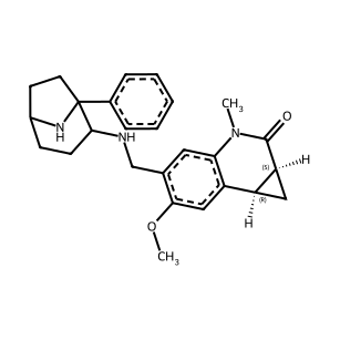 COc1cc2c(cc1CNC1CCC3CCC1(c1ccccc1)N3)N(C)C(=O)[C@H]1C[C@@H]21